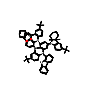 CC(C)(C)c1ccc2c(c1)B1c3ccc4c(sc5ccccc54)c3N(c3ccc(C(C)(C)C)cc3-c3ccccc3)c3cc(N4c5ccc(C(C)(C)C)cc5C5(C)CCCCC45C)cc(c31)N2c1cccc2c1oc1ccccc12